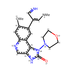 CN/C=C(\C=N)c1cc2c(cc1OC)ncc1[nH]c(=O)n(N3CCOCC3)c12